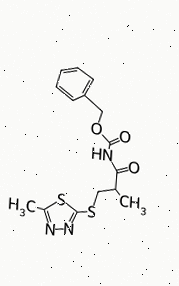 Cc1nnc(SCC(C)C(=O)NC(=O)OCc2ccccc2)s1